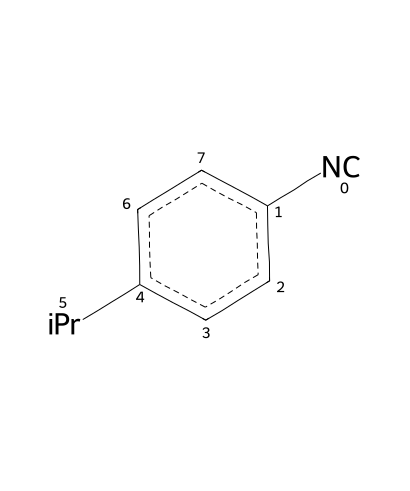 [C-]#[N+]c1ccc(C(C)C)cc1